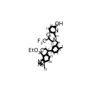 CCOC(=O)CC(c1ccc(C)c(CN2Cc3nc(O)ccc3O[C@H](C(F)(F)F)C2)c1)c1ccc2c(nnn2C)c1C